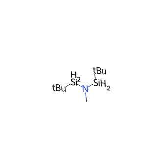 CN([SiH2]C(C)(C)C)[SiH2]C(C)(C)C